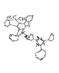 CC1(C)c2ccccc2-c2c1c1c3ccccc3sc1c1c2c2ccccc2n1-c1ccc(-c2nc(-c3ccccc3)nc(-c3ccccc3)n2)cc1